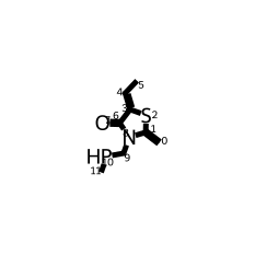 C=c1s/c(=C\C)c(=O)n1CPC